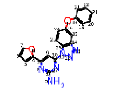 Nc1nc(-c2ccco2)cc(-n2nnc3cc(Oc4ccccc4)ccc32)n1